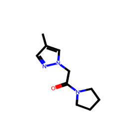 Cc1cnn(CC(=O)N2CCCC2)c1